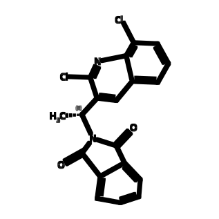 C[C@H](c1cc2cccc(Cl)c2nc1Cl)N1C(=O)c2ccccc2C1=O